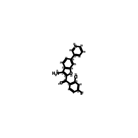 Nc1c(C(=O)c2ccc(F)cc2Cl)oc2cc(-c3cccnc3)ccc12